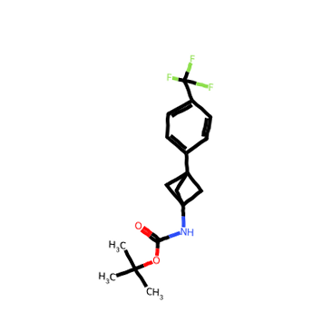 CC(C)(C)OC(=O)NC12CC(c3ccc(C(F)(F)F)cc3)(C1)C2